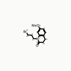 COc1ccc2c(c1)N(CCCBr)C(=O)CC2